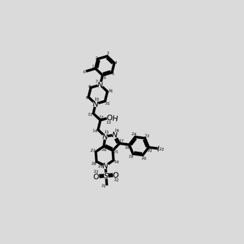 Cc1ccccc1N1CCN(CC(O)Cn2nc(-c3ccc(I)cc3)c3c2CCN(S(C)(=O)=O)C3)CC1